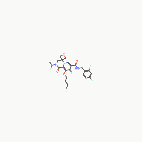 CCCCOc1c2n(cc(C(=O)NCc3ccc(F)cc3F)c1=O)C1(COC1)CN(N(C)Cl)C2=O